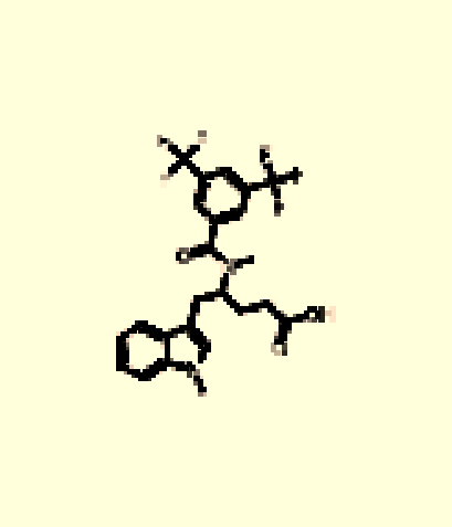 CN(C(=O)c1cc(C(F)(F)F)cc(C(F)(F)F)c1)C(CCC(=O)O)Cc1cn(C)c2ccccc12